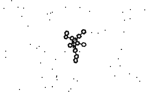 c1ccc(-c2ccc(N3c4ccc(-c5cccc6ccccc56)cc4B4c5ccccc5N(c5ccc(-c6ccc7ccccc7c6)cc5)c5cc(C6CCCCC6)cc3c54)cc2)cc1